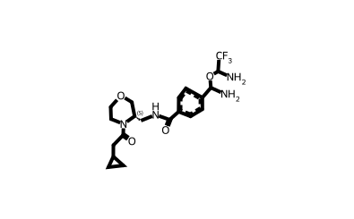 NC(OC(N)C(F)(F)F)c1ccc(C(=O)NC[C@H]2COCCN2C(=O)CC2CC2)cc1